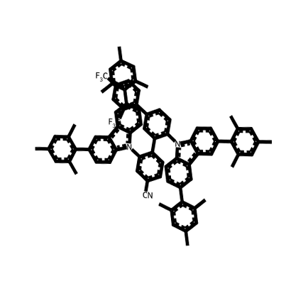 Cc1cc(C)c(-c2ccc3c(c2)c2cc(-c4c(C)cc(C)cc4C)ccc2n3-c2ccc(-c3ccc(C(F)(F)F)cc3C(F)(F)F)cc2-c2ccc(C#N)cc2-n2c3ccc(-c4c(C)cc(C)cc4C)cc3c3cc(-c4c(C)cc(C)cc4C)ccc32)c(C)c1